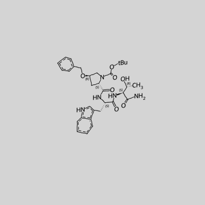 C[C@@H](O)[C@H](NC(=O)[C@H](Cc1c[nH]c2ccccc12)NC(=O)[C@@H]1C[C@@H](OCc2ccccc2)CN1C(=O)OC(C)(C)C)C(N)=O